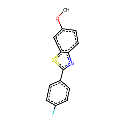 COc1ccc2nc(-c3ccc(F)cc3)sc2c1